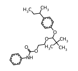 CCC(C)c1ccc(OC(OCCOC(=O)Nc2ccccc2)C(C)(C)C)cc1